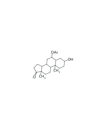 CC(=O)OC1CC2C3CCC(=O)C3(C)CCC2C2(C)CCC(O)CC12